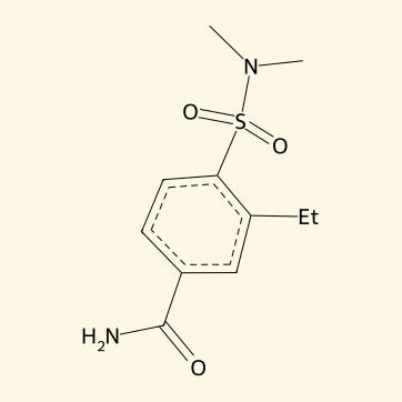 CCc1cc(C(N)=O)ccc1S(=O)(=O)N(C)C